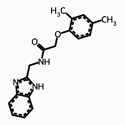 Cc1ccc(OCC(=O)NCc2nc3ccccc3[nH]2)c(C)c1